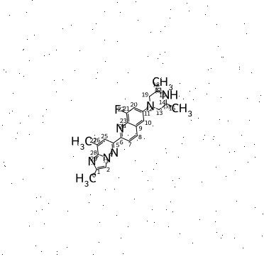 Cc1cn2nc(-c3ccc4cc(N5C[C@H](C)N[C@@H](C)C5)cc(F)c4n3)cc(C)c2n1